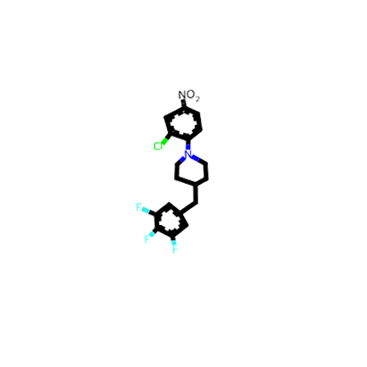 O=[N+]([O-])c1ccc(N2CCC(Cc3cc(F)c(F)c(F)c3)CC2)c(Cl)c1